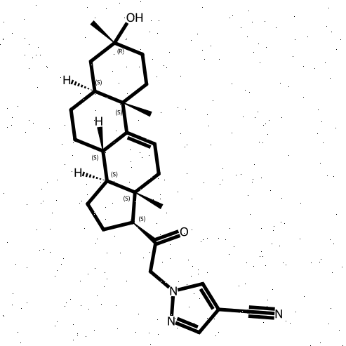 C[C@@]1(O)CC[C@]2(C)C3=CC[C@]4(C)[C@@H](C(=O)Cn5cc(C#N)cn5)CC[C@H]4[C@@H]3CC[C@H]2C1